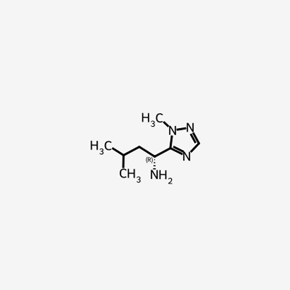 CC(C)C[C@@H](N)c1ncnn1C